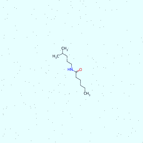 [CH2]C(C)CCCNC(=O)CCCCC